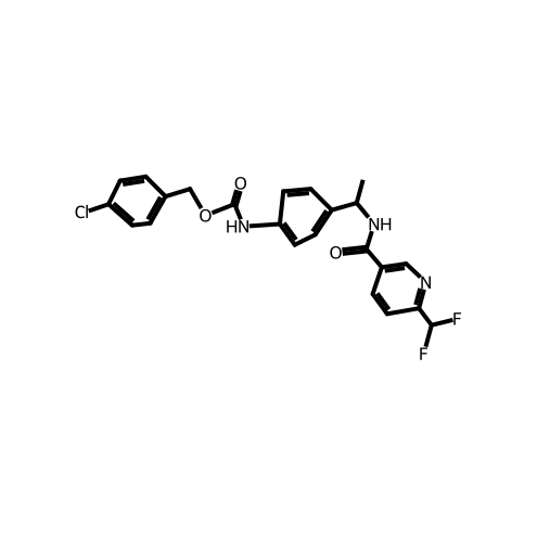 CC(NC(=O)c1ccc(C(F)F)nc1)c1ccc(NC(=O)OCc2ccc(Cl)cc2)cc1